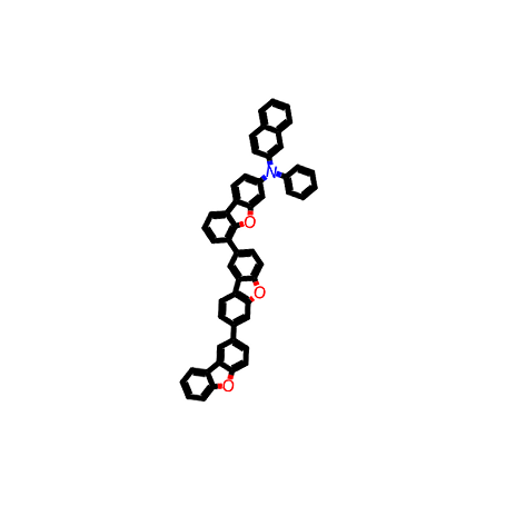 c1ccc(N(c2ccc3ccccc3c2)c2ccc3c(c2)oc2c(-c4ccc5oc6cc(-c7ccc8oc9ccccc9c8c7)ccc6c5c4)cccc23)cc1